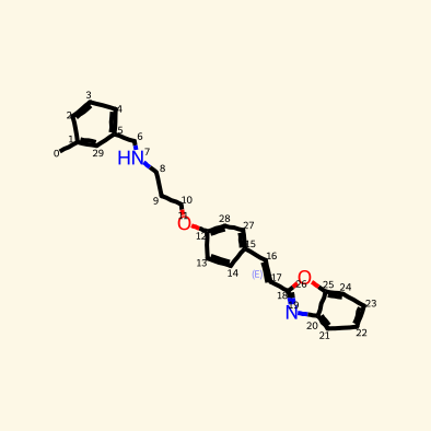 Cc1cccc(CNCCCOc2ccc(/C=C/c3nc4ccccc4o3)cc2)c1